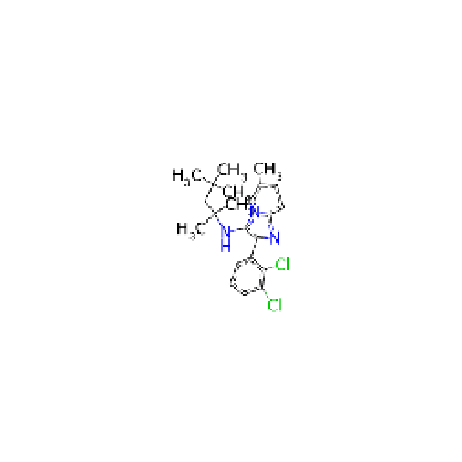 Cc1ccc2nc(-c3cccc(Cl)c3Cl)c(NC(C)(C)CC(C)(C)C)n2c1